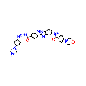 CN1CCN(c2ccc(N=[N+]=NC(=O)c3ccc(-c4nc5cc(NC(=O)c6ccc(N7CCOCC7)cc6)ccc5[nH]4)cc3)cc2)CC1